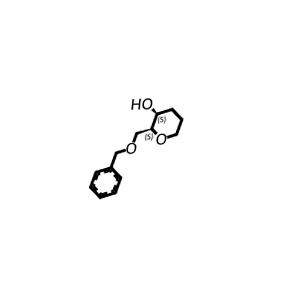 O[C@H]1CCCO[C@H]1COCc1ccccc1